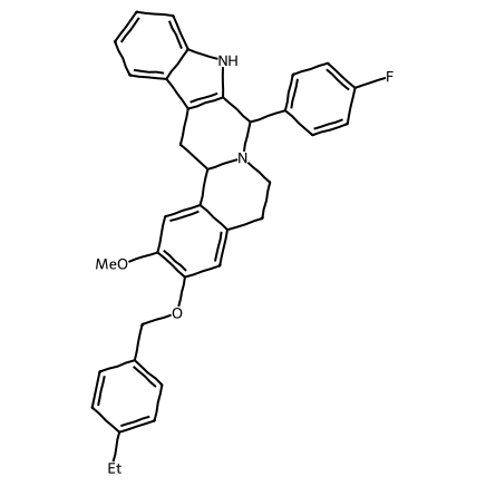 CCc1ccc(COc2cc3c(cc2OC)C2Cc4c([nH]c5ccccc45)C(c4ccc(F)cc4)N2CC3)cc1